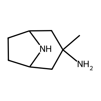 CC1(N)CC2CCC(C1)N2